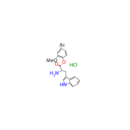 COc1cc(C(C)=O)ccc1OC(=O)C(N)Cc1c[nH]c2ccccc12.Cl